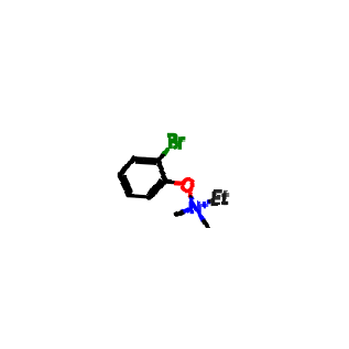 CC[N+](C)(C)Oc1ccccc1Br